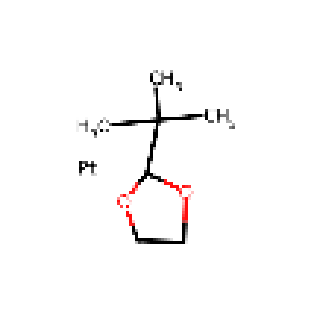 CC(C)(C)C1OCCO1.[Pt]